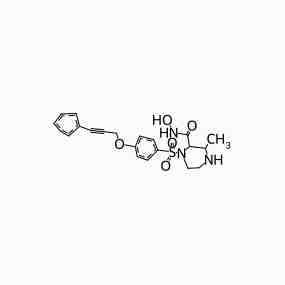 CC1NCCN(S(=O)(=O)c2ccc(OCC#Cc3ccccc3)cc2)C1C(=O)NO